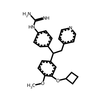 COc1ccc(C(Cc2ccncc2)c2ccc(NC(=N)N)cc2)cc1OC1CCC1